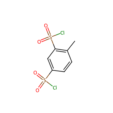 Cc1ccc(S(=O)(=O)Cl)cc1S(=O)(=O)Cl